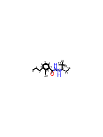 CCCc1cccc(C(=O)NN[C@H](CC)C(C)(C)C)c1C